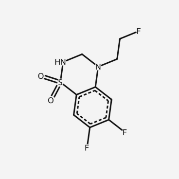 O=S1(=O)NCN(CCF)c2cc(F)c(F)cc21